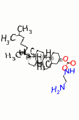 CC(C)CCC[C@@H](C)[C@H]1CC[C@H]2[C@@H]3CC=C4C[C@@H](OC(=O)ONCCN)CC[C@]4(C)[C@H]3CC[C@]12C